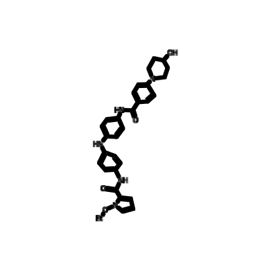 CCOn1cccc1C(=O)Nc1ccc(Nc2ccc(NC(=O)c3ccc(N4CCC(O)CC4)cc3)cc2)cc1